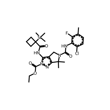 CCOC(=O)n1nc2c(c1NC(=O)C1([Si](C)(C)C)CCC1)CN(C(=O)Nc1c(Cl)ccc(C)c1F)C2(C)C